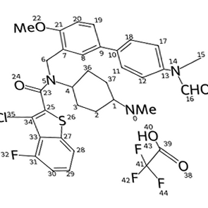 CNC1CCC(N(Cc2cc(-c3ccc(N(C)C=O)cc3)ccc2OC)C(=O)c2sc3cccc(F)c3c2Cl)CC1.O=C(O)C(F)(F)F